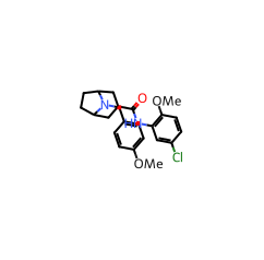 COc1ccc(CN2C3CCC2CC(C(=O)Nc2cc(Cl)ccc2OC)C3)cc1